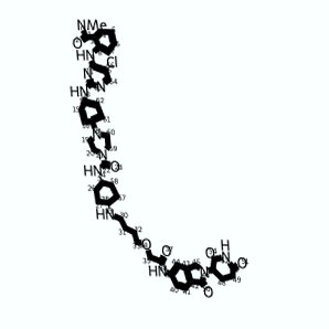 CNC(=O)c1ccccc1Nc1nc(Nc2ccc(N3CCN(C(=O)N[C@H]4CC[C@@H](NCCCCOCC(=O)Nc5ccc6c(c5)CN(C5CCC(=O)NC5=O)C6=O)CC4)CC3)cc2)ncc1Cl